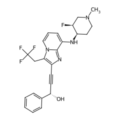 CN1CC[C@@H](Nc2cccn3c(CC(F)(F)F)c(C#C[C@H](O)c4ccccc4)nc23)[C@@H](F)C1